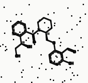 O=Cc1c(O)cccc1OC[C@@H]1CCCCN1C(=O)c1cccnc1[C@@H](O)CO